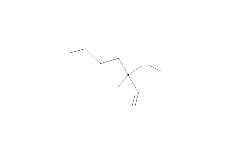 [CH2]CCCC(I)(C=O)OC